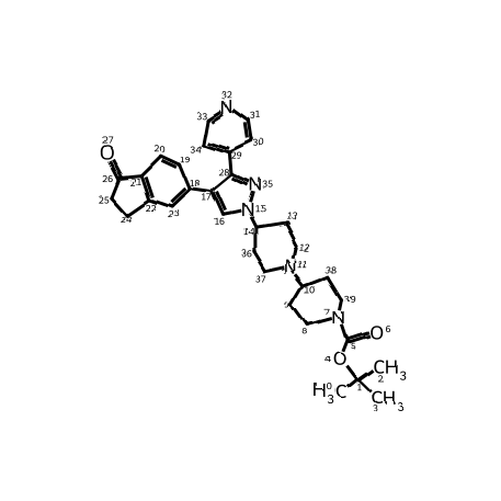 CC(C)(C)OC(=O)N1CCC(N2CCC(n3cc(-c4ccc5c(c4)CCC5=O)c(-c4ccncc4)n3)CC2)CC1